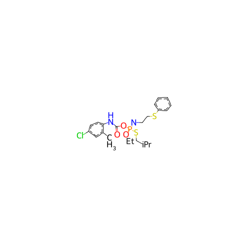 CCOP(=NCCSc1ccccc1)(OC(=O)Nc1ccc(Cl)cc1C)SCC(C)C